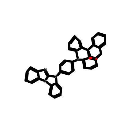 c1ccc2c(c1)C1c3ccccc3C23c2ccccc2N(c2ccc(-n4c5ccccc5n5c6ccccc6nc45)cc2)c2cccc1c23